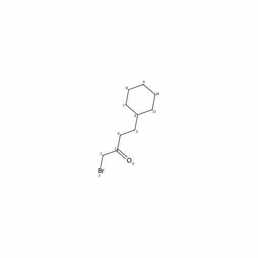 O=C(CBr)CCC1CCCCC1